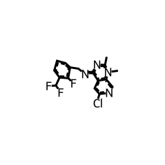 Cc1n/c(=N\Cc2cccc(C(F)F)c2F)c2cc(Cl)ncc2n1C